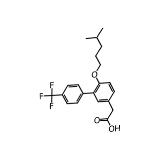 CC(C)CCCOc1ccc(CC(=O)O)cc1-c1ccc(C(F)(F)F)cc1